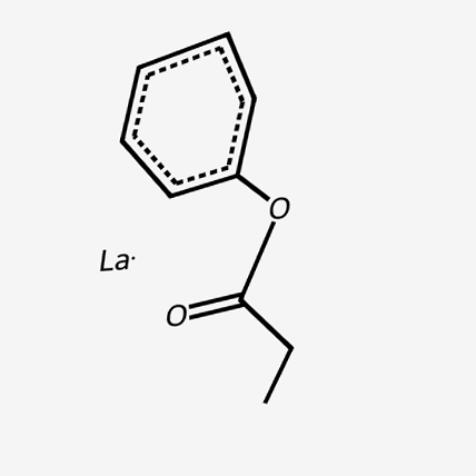 CCC(=O)Oc1ccccc1.[La]